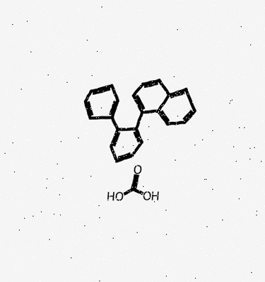 O=C(O)O.c1ccc(-c2ccccc2-c2cccc3ccccc23)cc1